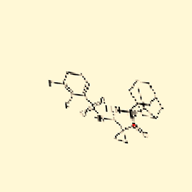 NC(=O)C12CC3CC(C1)C(NC(=O)C1(CNS(=O)(=O)c4cccc(F)c4F)CC1)C(C3)C2